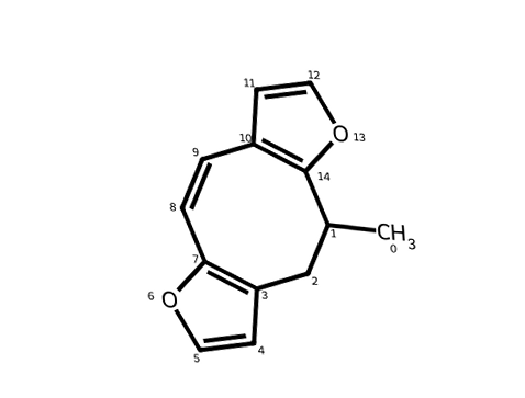 CC1Cc2ccoc2/C=C\c2ccoc21